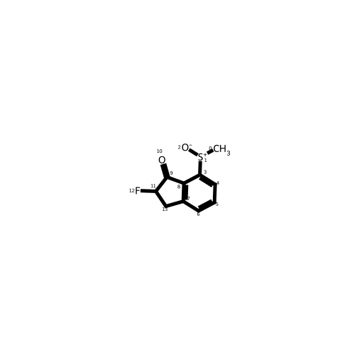 C[S+]([O-])c1cccc2c1C(=O)C(F)C2